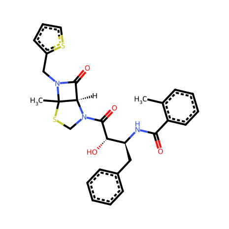 Cc1ccccc1C(=O)N[C@@H](Cc1ccccc1)[C@H](O)C(=O)N1CSC2(C)[C@H]1C(=O)N2Cc1cccs1